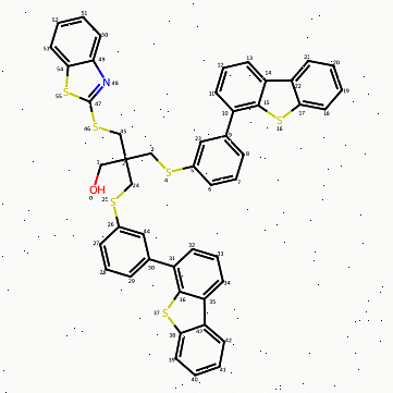 OCC(CSc1cccc(-c2cccc3c2sc2ccccc23)c1)(CSc1cccc(-c2cccc3c2sc2ccccc23)c1)CSc1nc2ccccc2s1